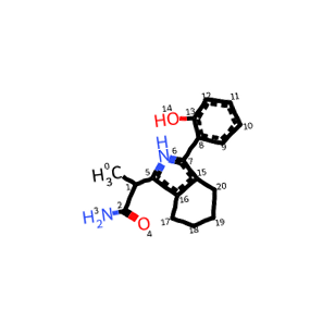 CC(C(N)=O)c1[nH]c(-c2ccccc2O)c2c1CCCC2